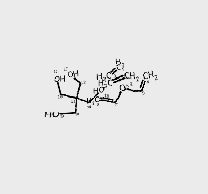 C=C.C=C.C=COC=C.OCC(CO)(CO)CO